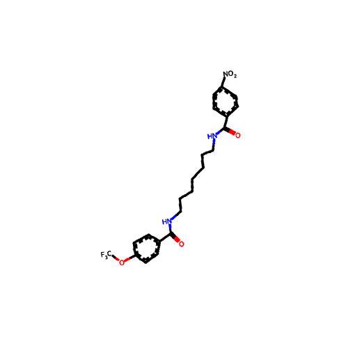 O=C(NCCCCCCCNC(=O)c1ccc([N+](=O)[O-])cc1)c1ccc(OC(F)(F)F)cc1